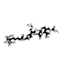 CO/N=C(\C(=O)N[C@@H]1C(=O)N2C(C(=O)O)=C(COC(C)=O)CS[C@@H]12)c1csc(NC(=O)CCCCC(P(=O)(O)O)P(=O)(O)O)n1